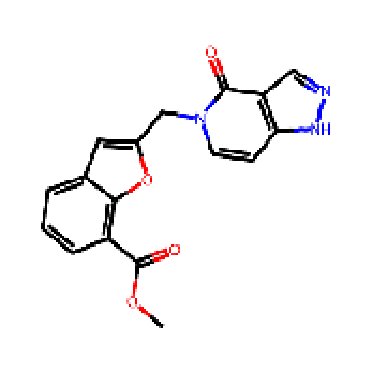 COC(=O)c1cccc2cc(Cn3ccc4[nH]ncc4c3=O)oc12